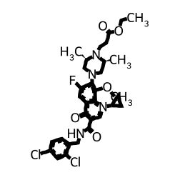 CCOC(=O)CCN1[C@H](C)CN(c2c(F)cc3c(=O)c(C(=O)NCc4ccc(Cl)cc4Cl)cn(C4CC4)c3c2OC)C[C@@H]1C